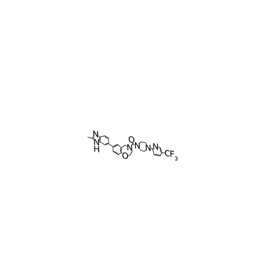 Cc1nc2ccc(-c3ccc4c(c3)CN(C(=O)N3CCN(c5ccc(C(F)(F)F)cn5)CC3)CCO4)cc2[nH]1